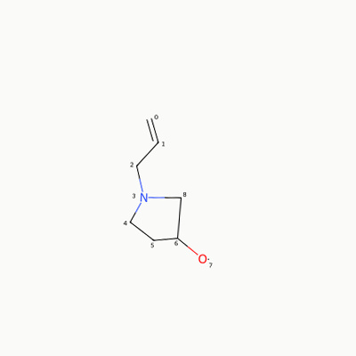 C=CCN1CCC([O])C1